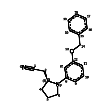 N#CC[C@@H]1CCCN1c1cccc(OCc2ccccc2)c1